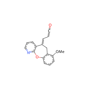 COc1cccc2c1CC(=CC=C=O)c1cccnc1O2